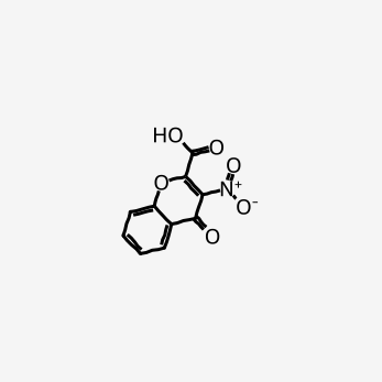 O=C(O)c1oc2ccccc2c(=O)c1[N+](=O)[O-]